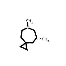 C[C@H]1CN(C)CCC2(CC2)C1